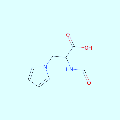 O=CNC(Cn1cccc1)C(=O)O